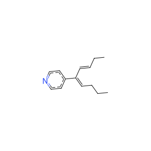 CC/C=C/C(=C\CCC)c1ccncc1